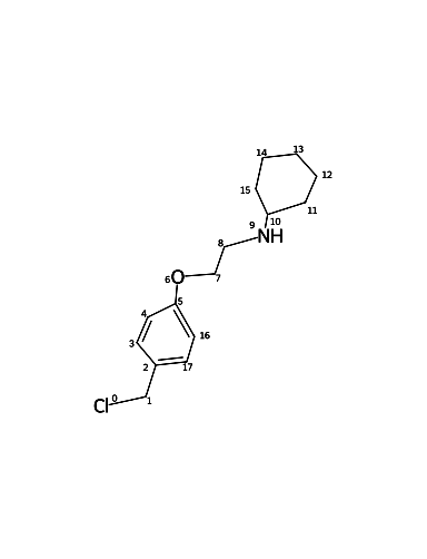 ClCc1ccc(OCCNC2CCCCC2)cc1